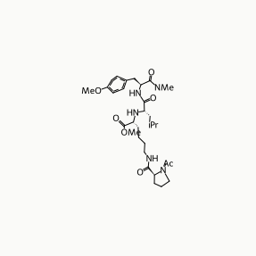 CNC(=O)[C@H](Cc1ccc(OC)cc1)NC(=O)[C@H](CC(C)C)N[C@H](CCCCNC(=O)[C@@H]1CCCN1C(C)=O)C(=O)OC